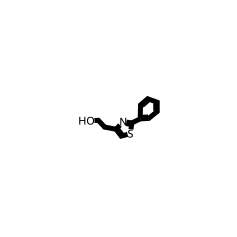 OCCc1csc(-c2ccccc2)n1